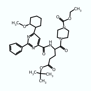 CCOC(=O)N1CCN(C(=O)C(CCC(=O)OC(C)(C)C)NC(=O)c2cc(C3CCCC[C@@H]3OC)nc(-c3ccccc3)n2)CC1